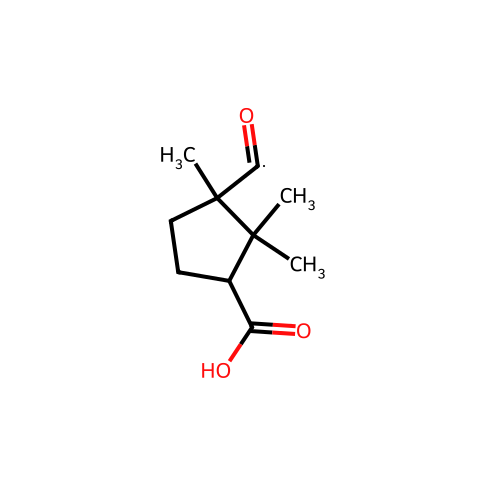 CC1([C]=O)CCC(C(=O)O)C1(C)C